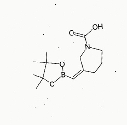 CC1(C)OB(C=C2CCCN(C(=O)O)C2)OC1(C)C